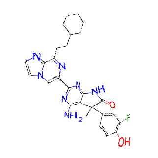 CC1(c2ccc(O)c(F)c2)C(=O)Nc2nc(-c3cn4ccnc4c(CCC4CCCCC4)n3)nc(N)c21